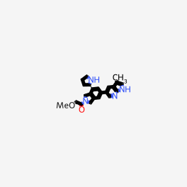 COCC(=O)N1Cc2cc(-c3cnc4[nH]cc(C)c4c3)cc([C@@H]3CCCN3)c2C1